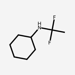 CC(F)(F)N[C]1CCCCC1